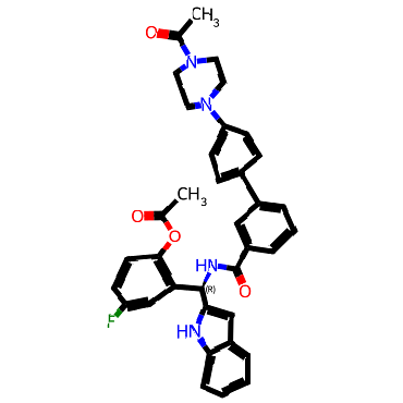 CC(=O)Oc1ccc(F)cc1[C@@H](NC(=O)c1cccc(-c2ccc(N3CCN(C(C)=O)CC3)cc2)c1)c1cc2ccccc2[nH]1